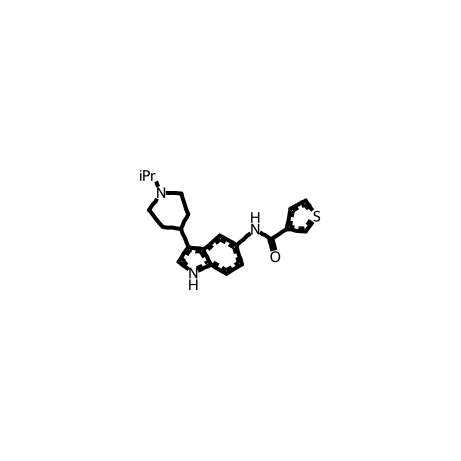 CC(C)N1CCC(c2c[nH]c3ccc(NC(=O)c4ccsc4)cc23)CC1